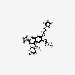 COc1cc2c(NC3CCOCC3)nc(N3CCC3)nc2cc1OCCCN1CCCC1